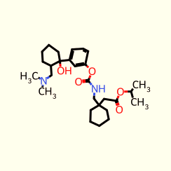 CC(C)OC(=O)CC1(CNC(=O)Oc2cccc(C3(O)CCCCC3CN(C)C)c2)CCCCC1